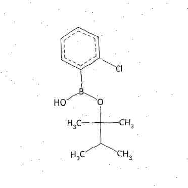 CC(C)C(C)(C)OB(O)c1ccccc1Cl